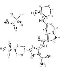 CS(=O)(=O)N1CCC(n2cc(NC(=O)c3cnn4ccc(N[C@@H]5CCCC[C@@H]5N)nc34)c(C(N)=O)n2)CC1.O=C(O)C(F)(F)F